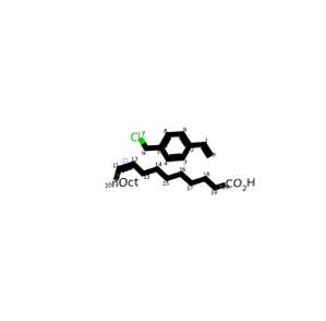 C=Cc1ccc(CCl)cc1.CCCCCCCC/C=C\CCCCCCCC(=O)O